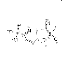 CC(c1ccc(C(F)(F)Cl)nc1)S(C)(=O)=NC#N